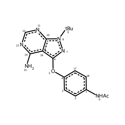 CC(=O)Nc1ccc(Oc2nn(C(C)(C)C)c3ncnc(N)c23)cc1